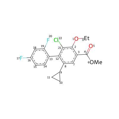 CCOc1c(C(=O)OC)cc(C2CC2)c(-c2ccc(F)cc2F)c1Cl